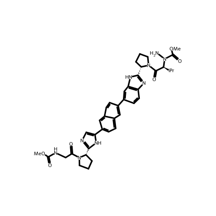 COC(=O)NCC(=O)N1CCC[C@H]1c1ncc(-c2ccc3cc(-c4ccc5nc([C@@H]6CCCN6C(=O)[C@H](C(C)C)N(N)C(=O)OC)[nH]c5c4)ccc3c2)[nH]1